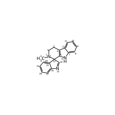 CN1CCc2c([nH]c3ccccc23)C12C=Nc1ccccc12